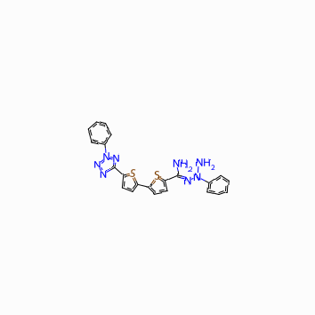 N/C(=N\N(N)c1ccccc1)c1ccc(-c2ccc(-c3nnn(-c4ccccc4)n3)s2)s1